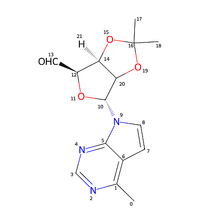 Cc1ncnc2c1ccn2[C@@H]1O[C@@H](C=O)[C@H]2OC(C)(C)OC12